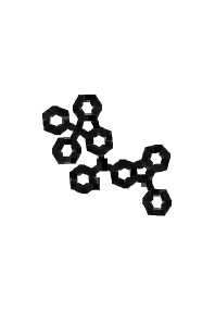 c1ccc(-n2c3ccccc3c3cc(N(c4ccc5c(c4)C(c4ccccc4)(c4ccccc4)c4ccccc4-5)c4ccccn4)ccc32)cc1